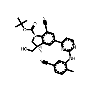 Cc1ccc(C#N)cc1Nc1nccc(-c2cc(C#N)c3c(c2)[C@@](C)(CO)CN3C(=O)OC(C)(C)C)n1